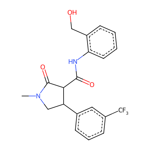 CN1CC(c2cccc(C(F)(F)F)c2)C(C(=O)Nc2ccccc2CO)C1=O